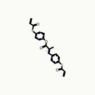 C=CC(=O)Sc1ccc(/C=C(\C)C(=O)Oc2ccc(SC(=O)C=C)cc2)cc1